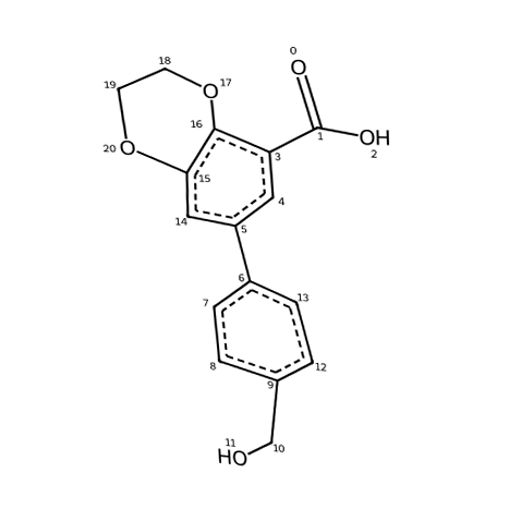 O=C(O)c1cc(-c2ccc(CO)cc2)cc2c1OCCO2